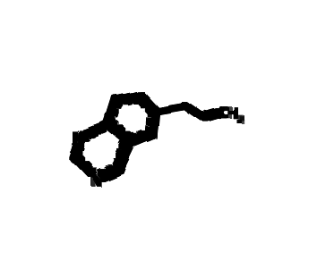 C=CCc1ccc2ncncc2c1